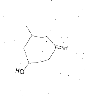 CC1CC(=N)CC(O)C1